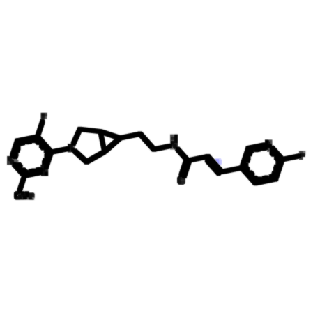 COc1ncc(F)c(N2CC3C(CCNC(=O)/C=C/c4ccc(F)nc4)C3C2)n1